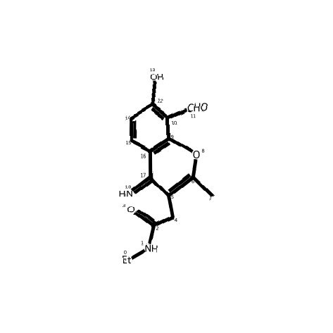 CCNC(=O)Cc1c(C)oc2c(C=O)c(O)ccc2c1=N